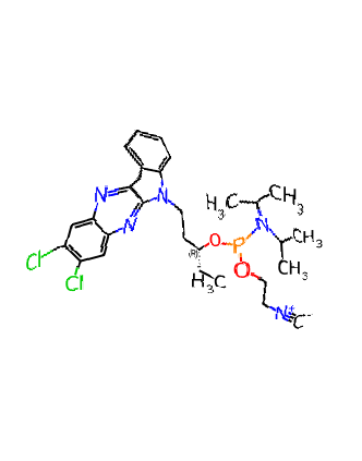 [C-]#[N+]CCOP(O[C@H](CC)CCn1c2ccccc2c2nc3cc(Cl)c(Cl)cc3nc21)N(C(C)C)C(C)C